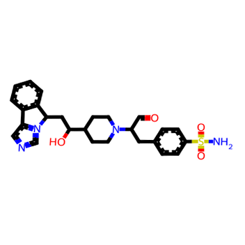 NS(=O)(=O)c1ccc(CC(C=O)N2CCC(C(O)CC3c4ccccc4-c4cncn43)CC2)cc1